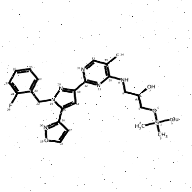 CC(C)(C)[Si](C)(C)OC[C@H](O)CNc1nc(-c2cc(-c3ccon3)n(Cc3ccccc3F)n2)ncc1F